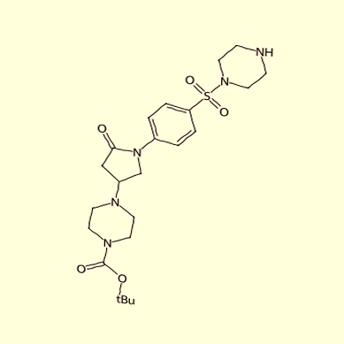 CC(C)(C)OC(=O)N1CCN(C2CC(=O)N(c3ccc(S(=O)(=O)N4CCNCC4)cc3)C2)CC1